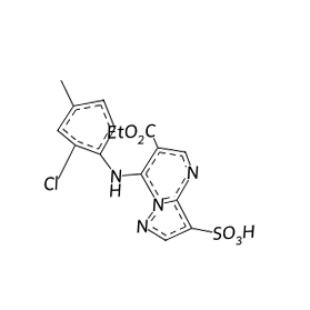 CCOC(=O)c1cnc2c(S(=O)(=O)O)cnn2c1Nc1ccc(C)cc1Cl